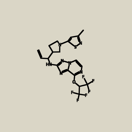 C=CC(Nc1nc2c(OC(C(F)(F)F)C(F)(F)F)nccn2n1)C1CCN(c2cc(C)ns2)C1